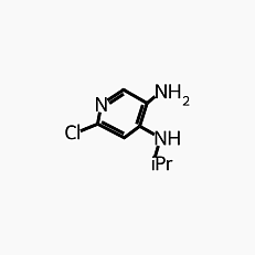 CC(C)Nc1cc(Cl)ncc1N